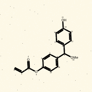 C=CC(=O)Oc1ccc(C(OC)c2ccc(O)cc2)cc1